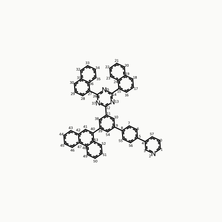 c1cncc(-c2ccc(-c3cc(-c4nc(-c5cccc6ccccc56)nc(-c5cccc6ccccc56)n4)cc(-c4cc5ccccc5c5ccccc45)c3)cc2)c1